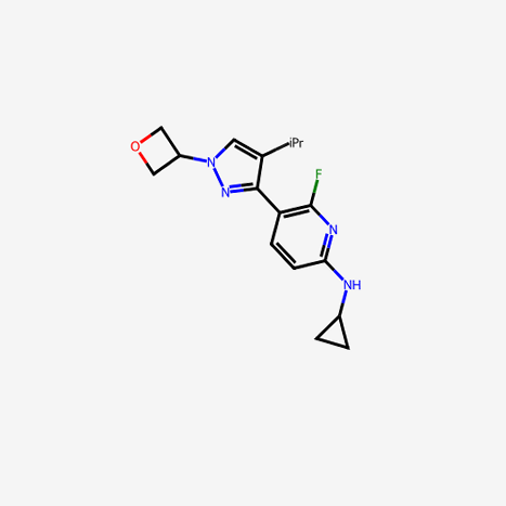 CC(C)c1cn(C2COC2)nc1-c1ccc(NC2CC2)nc1F